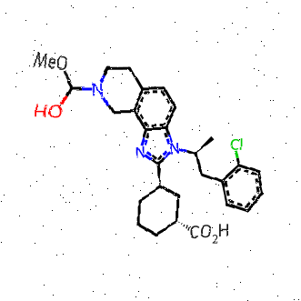 COC(O)N1CCc2ccc3c(nc([C@@H]4CCC[C@@H](C(=O)O)C4)n3[C@@H](C)Cc3ccccc3Cl)c2C1